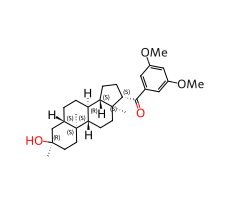 COc1cc(OC)cc(C(=O)[C@H]2CC[C@H]3[C@@H]4CC[C@H]5C[C@](C)(O)CC[C@]5(C)[C@H]4CC[C@]23C)c1